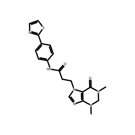 CN1CN(C)c2ncn(CCC(=O)Nc3ccc(-c4nccs4)cc3)c2C1=O